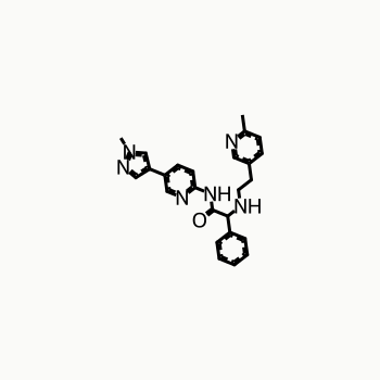 Cc1ccc(CCNC(C(=O)Nc2ccc(-c3cnn(C)c3)cn2)c2ccccc2)cn1